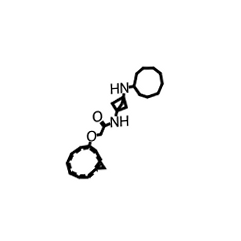 O=C(COc1ccccccc2c(c1)C2)NC12CC(NC3CCCCCCCC3)(C1)C2